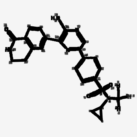 [2H]C([2H])([2H])N(C1CC1)S(=O)(=O)c1ccc(-c2cnc(N)c(-c3ccc4c(c3)CCNC4=O)n2)cc1